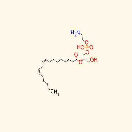 CCCCC/C=C\C/C=C\CCCCCCCC(=O)O[C@@H](CO)COP(=O)(O)OCCN